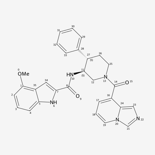 COc1cccc2[nH]c(C(=O)N[C@@H]3CN(C(=O)c4cccn5cncc45)CC[C@H]3c3ccccc3)cc12